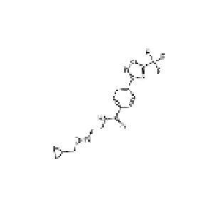 O=C(NCC=NOCC1CC1)c1ccc(-c2noc(C(F)(F)F)n2)cc1